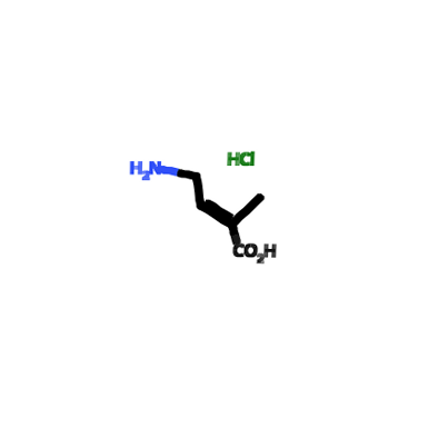 CC(=CCN)C(=O)O.Cl